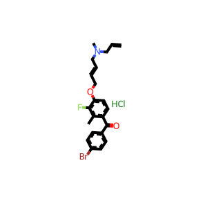 C=CCN(C)C/C=C/COc1ccc(C(=O)c2ccc(Br)cc2)c(C)c1F.Cl